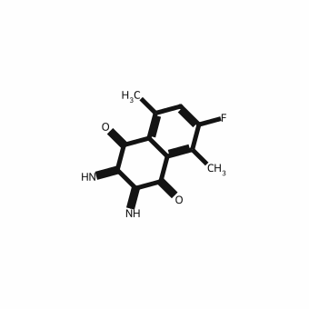 Cc1cc(F)c(C)c2c(=O)c(=N)c(=N)c(=O)c12